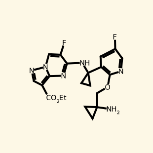 CCOC(=O)c1cnn2cc(F)c(NC3(c4cc(F)cnc4OCC4(N)CC4)CC3)nc12